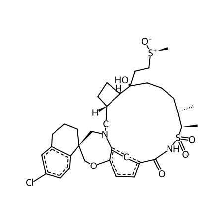 C[C@@H]1[C@@H](C)CCC[C@@](O)(CC[S@+](C)[O-])[C@@H]2CC[C@H]2CN2C[C@@]3(CCCc4cc(Cl)ccc43)COc3ccc(cc32)C(=O)NS1(=O)=O